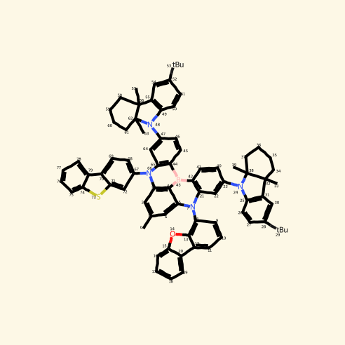 Cc1cc2c3c(c1)N(c1cccc4c1oc1ccccc14)c1cc(N4c5ccc(C(C)(C)C)cc5C5(C)CCCCC45C)ccc1B3c1ccc(N3c4ccc(C(C)(C)C)cc4C4(C)CCCCC34C)cc1N2c1ccc2c(c1)sc1ccccc12